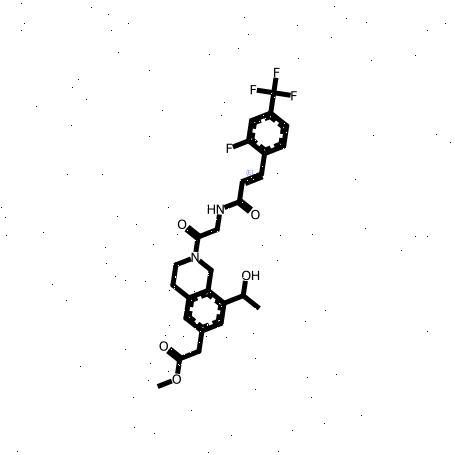 COC(=O)Cc1cc2c(c(C(C)O)c1)CN(C(=O)CNC(=O)/C=C/c1ccc(C(F)(F)F)cc1F)CC2